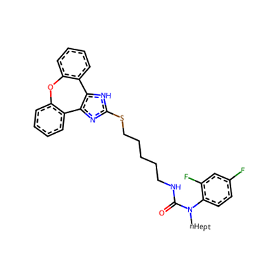 CCCCCCCN(C(=O)NCCCCCSc1nc2c([nH]1)-c1ccccc1Oc1ccccc1-2)c1ccc(F)cc1F